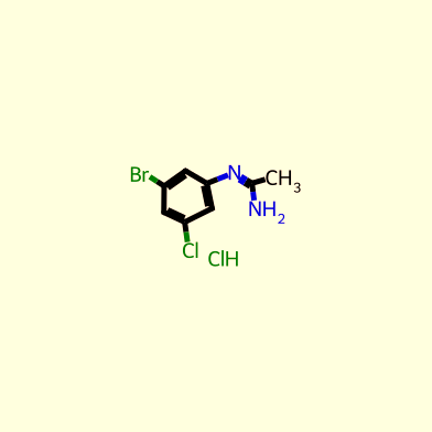 CC(N)=Nc1cc(Cl)cc(Br)c1.Cl